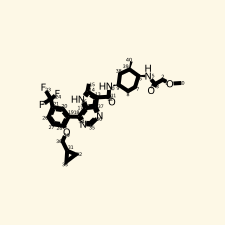 COCC(=O)N[C@H]1CC[C@H](NC(=O)c2c(C)[nH]c3c(-c4cc(C(F)(F)F)ccc4OCC4CC4)ncnc23)C[C@H]1C